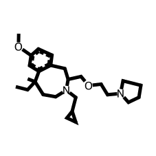 CCC1(C)CCN(CC2CC2)C(COCCN2CCCC2)Cc2ccc(OC)cc21